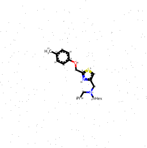 CCCCCCN(Cc1csc(COc2ccc(C)cc2)n1)CC(C)C